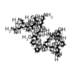 CC[C@H](C)[C@H](NC(=O)[C@H](CO)NC(=O)C(CCCCN)NC(=O)[C@@H](NC(=O)C(CS)NC(=O)[C@H](CCCNC(=N)N)NC(=O)CN)[C@@H](C)O)C(=O)N1CCC[C@H]1C(=O)N1CCC[C@H]1C(=O)N[C@@H](CCCNC(=N)N)C(=O)N[C@@H](CS)C(=O)NC(Cc1c[nH]cn1)C(=O)N1CCC[C@H]1C(=O)N[C@@H](CC(=O)O)C(=O)O